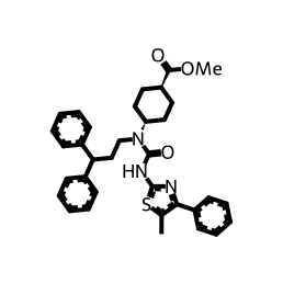 COC(=O)[C@H]1CC[C@H](N(CCC(c2ccccc2)c2ccccc2)C(=O)Nc2nc(-c3ccccc3)c(C)s2)CC1